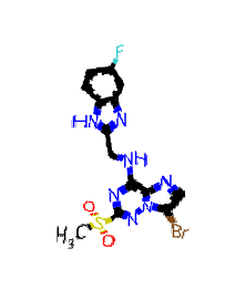 CS(=O)(=O)c1nc(NCc2nc3cc(F)ccc3[nH]2)c2ncc(Br)n2n1